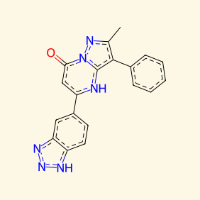 Cc1nn2c(=O)cc(-c3ccc4[nH]nnc4c3)[nH]c2c1-c1ccccc1